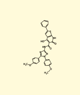 COc1ccc(-c2nc(NC(=O)c3c(O)c4cc(-c5ccccc5)sc4[nH]c3=O)nn2-c2ccc(OC)cc2)cc1